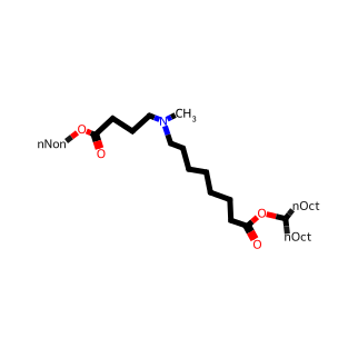 CCCCCCCCCOC(=O)CCCN(C)CCCCCCCC(=O)OC(CCCCCCCC)CCCCCCCC